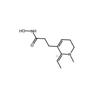 C/C=C1/C(CCC(=O)NO)=CCCN1C